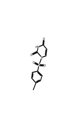 Cc1ccc(S(=O)(=O)n2ccc(=O)[nH]c2=O)cc1